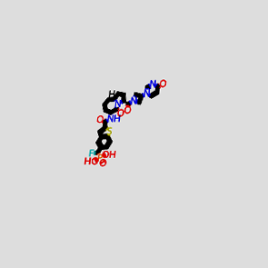 O=C(N[C@H]1CCC[C@H]2CC[C@@H](C(=O)N3CC(n4ccc(=O)nc4)C3)N2C1=O)c1cc2cc(C(F)P(=O)(O)O)ccc2s1